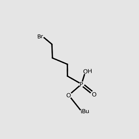 CCC(C)OP(=O)(O)CCCCBr